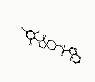 O=C(NC1CCC2(CC1)CCN(c1c(F)cc(F)cc1Cl)C2=O)c1cnc2cccnn12